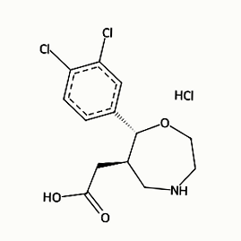 Cl.O=C(O)C[C@@H]1CNCCO[C@H]1c1ccc(Cl)c(Cl)c1